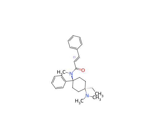 CC[C@]1(N(C)C)CC[C@@](c2ccccc2)(N(C)C(=O)/C=C/c2ccccc2)CC1